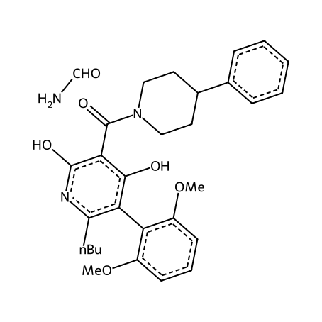 CCCCc1nc(O)c(C(=O)N2CCC(c3ccccc3)CC2)c(O)c1-c1c(OC)cccc1OC.NC=O